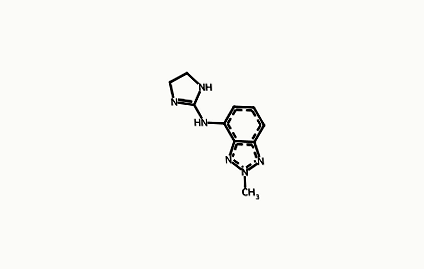 Cn1nc2cccc(NC3=NCCN3)c2n1